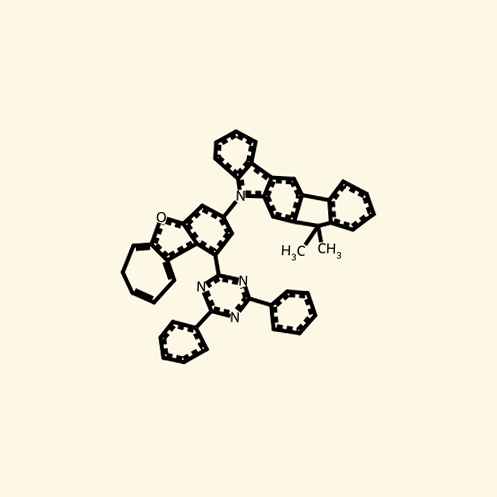 CC1(C)c2ccccc2-c2cc3c4ccccc4n(-c4cc(-c5nc(-c6ccccc6)nc(-c6ccccc6)n5)c5c6c(oc5c4)=CCC=CC=6)c3cc21